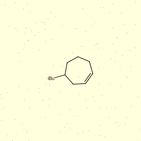 [CH2]C(CC)C1CC=CCCC1